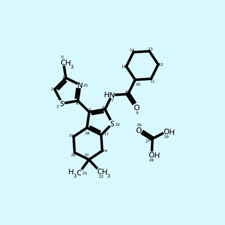 Cc1csc(-c2c(NC(=O)C3CCCCC3)sc3c2CCC(C)(C)C3)n1.O=C(O)O